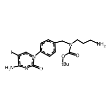 CC(C)(C)OC(=O)N(CCCN)Cc1ccc(-n2cc(I)c(N)nc2=O)cc1